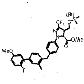 COC(=O)C1C(CO[Si](C)(C)C(C)(C)C)C(C(F)(F)F)=NN1c1ccc(Cc2ccc(-c3cc(OC)ccc3F)cc2C)cc1